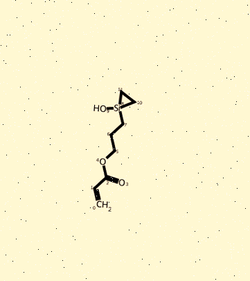 C=CC(=O)OCCC[Si]1(O)CC1